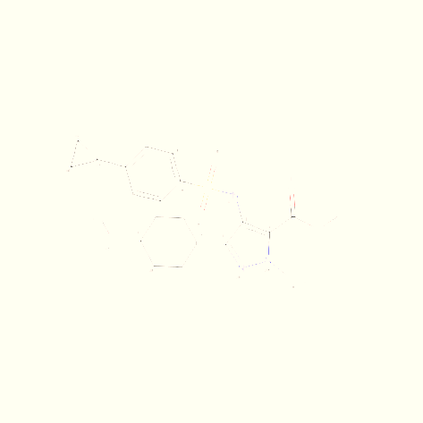 COC(=O)c1c(NS(=O)(=O)c2ccc(C3CC3)cc2)c([C@H]2CC[C@@H](OC)CC2)nn1C